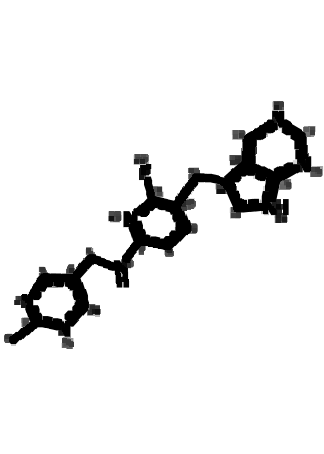 Cc1ncc(CNc2ccc(Cc3c[nH]c4ncncc34)c(F)n2)cn1